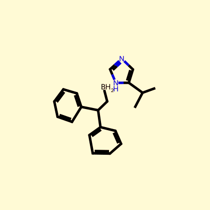 BCC(c1ccccc1)c1ccccc1.CC(C)c1cnc[nH]1